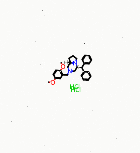 COc1ccc(OC)c(CN2C[C@@H]3CCCN3[C@H](C(c3ccccc3)c3ccccc3)C2)c1.Cl.Cl